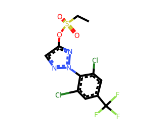 CCS(=O)(=O)Oc1cnn(-c2c(Cl)cc(C(F)(F)F)cc2Cl)n1